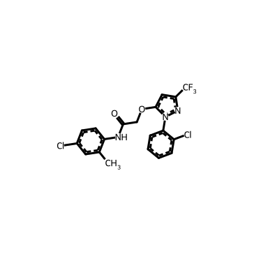 Cc1cc(Cl)ccc1NC(=O)COc1cc(C(F)(F)F)nn1-c1ccccc1Cl